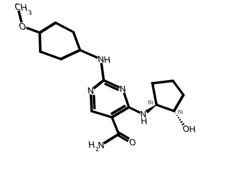 COC1CCC(Nc2ncc(C(N)=O)c(N[C@H]3CCC[C@@H]3O)n2)CC1